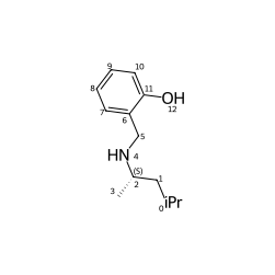 CC(C)C[C@H](C)NCc1ccccc1O